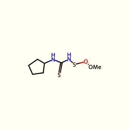 COOSNC(=S)NC1CCCC1